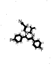 CC(C)C1=NC(c2ccc(F)cc2)=CC(c2ccc(F)cc2)N1C=C(F)C#N